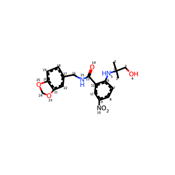 CC(C)(CO)Nc1ccc([N+](=O)[O-])cc1C(=O)NCc1ccc2c(c1)OCO2